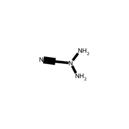 N#CN(N)N